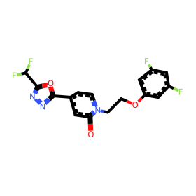 O=c1cc(-c2nnc(C(F)F)o2)ccn1CCOc1cc(F)cc(F)c1